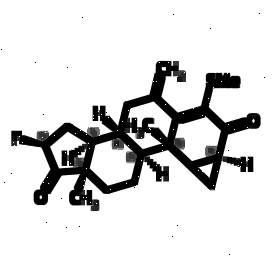 C=C1C[C@H]2[C@@H]3C[C@H](F)C(=O)[C@@]3(C)CC[C@@H]2[C@]2(C)C1=C(SC)C(=O)[C@H]1CC12